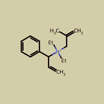 C=CC(c1ccccc1)[N+](CC)(CC)CC(=C)C